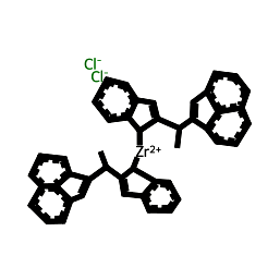 CC(C1=Cc2cccc3cccc1c23)C1=Cc2ccccc2[CH]1[Zr+2][CH]1C(C(C)C2=Cc3cccc4cccc2c34)=Cc2ccccc21.[Cl-].[Cl-]